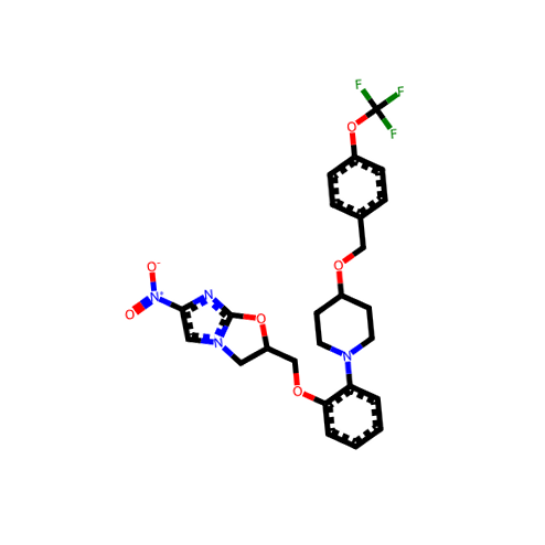 O=[N+]([O-])c1cn2c(n1)OC(COc1ccccc1N1CCC(OCc3ccc(OC(F)(F)F)cc3)CC1)C2